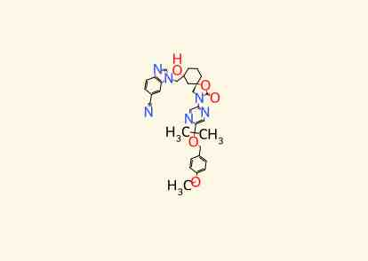 COc1ccc(COC(C)(C)c2cnc(N3C[C@@]4(CCC[C@](O)(Cn5cnc6ccc(C#N)cc65)C4)OC3=O)cn2)cc1